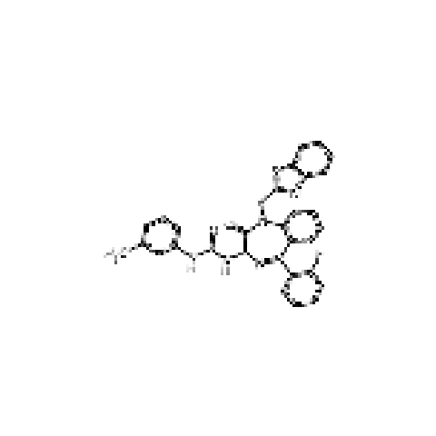 Cc1cccc(NC(=O)N[C@@H]2N=C(c3ccccc3F)c3ccccc3N(Cc3nc4ccccc4s3)C2=O)c1